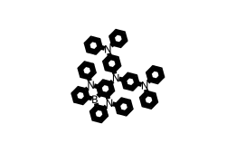 c1ccc(N(c2ccccc2)c2ccc(N(c3ccc(N(c4ccccc4)c4ccccc4)cc3)c3cc4c5c(c3)N(c3ccccc3)c3ccccc3B5c3ccccc3N4c3ccccc3)cc2)cc1